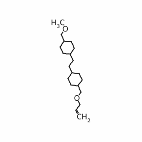 C=CCOCC1CCC(CCC2CCC(COC)CC2)CC1